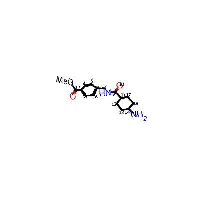 COC(=O)c1ccc(CNC(=O)C2CCC(N)CC2)cc1